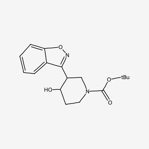 CC(C)(C)OC(=O)N1CCC(O)C(c2noc3ccccc23)C1